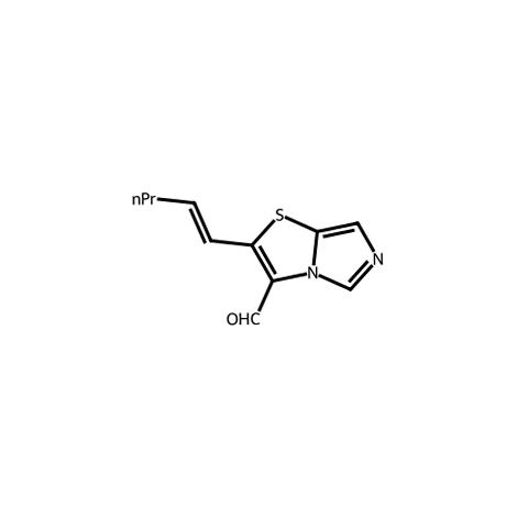 CCCC=Cc1sc2cncn2c1C=O